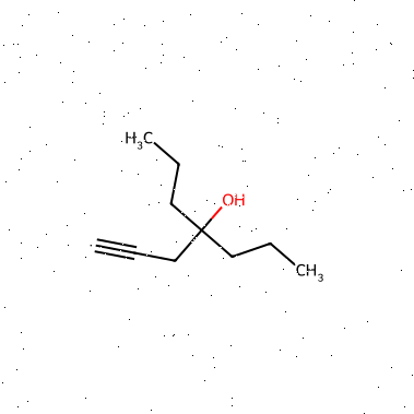 [C]#CCC(O)(CCC)CCC